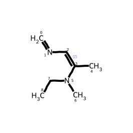 C=N/C=C(/C)N(C)CC